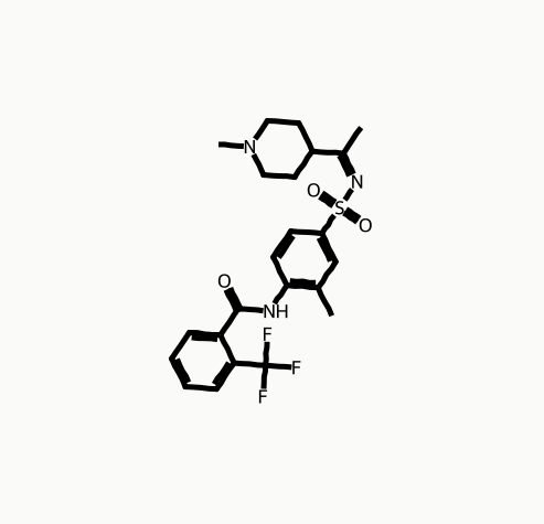 C/C(=N/S(=O)(=O)c1ccc(NC(=O)c2ccccc2C(F)(F)F)c(C)c1)C1CCN(C)CC1